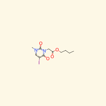 CCCCOC(=O)Cn1c(=O)c(I)cn(C)c1=O